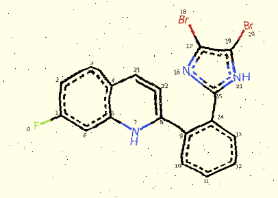 Fc1ccc2c(c1)NC(c1ccccc1-c1nc(Br)c(Br)[nH]1)=C=C2